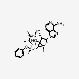 CC(C)OC(=O)[C@H](C)N[P@@](=O)(Oc1ccccc1)OC1[C@H]2O[C@@H](n3cnc4c(N)ncnc43)[C@H](O)[C@@]12O